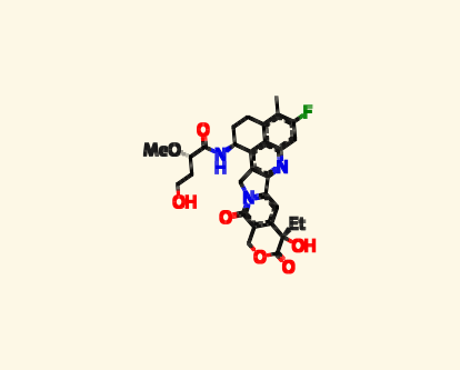 CC[C@@]1(O)C(=O)OCc2c1cc1n(c2=O)Cc2c-1nc1cc(F)c(C)c3c1c2[C@@H](NC(=O)[C@H](CCO)OC)CC3